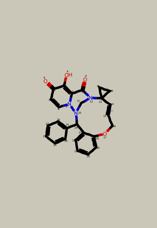 O=C1c2c(O)c(=O)ccn2N2CN1C1(/C=C/COc3ccccc3C2c2ccccc2)CC1